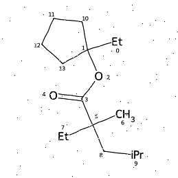 CCC1(OC(=O)C(C)(CC)CC(C)C)CCCC1